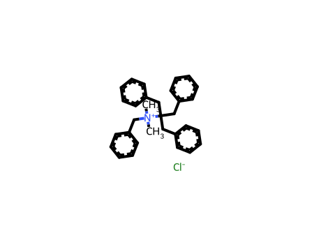 C[N+](C)(Cc1ccccc1)C(Cc1ccccc1)(Cc1ccccc1)Cc1ccccc1.[Cl-]